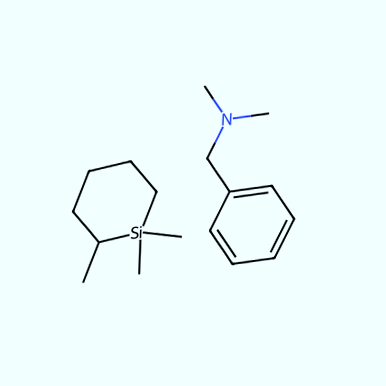 CC1CCCC[Si]1(C)C.CN(C)Cc1ccccc1